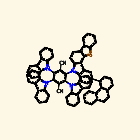 N#Cc1c(-n2c3ccccc3c3ccccc32)c(-n2c3ccccc3c3ccccc32)c(C#N)c(-n2c3ccc(-c4cccc5ccc6ccccc6c45)cc3c3c4sc5ccccc5c4ccc32)c1-n1c2ccccc2c2ccccc21